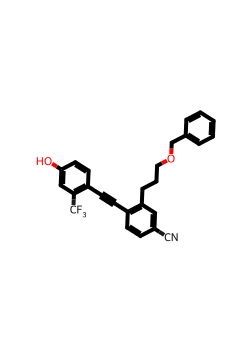 N#Cc1ccc(C#Cc2ccc(O)cc2C(F)(F)F)c(CCCOCc2ccccc2)c1